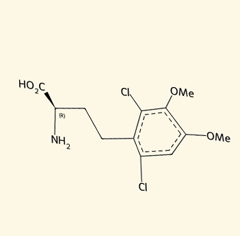 COc1cc(Cl)c(CC[C@@H](N)C(=O)O)c(Cl)c1OC